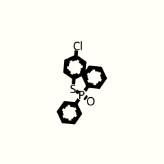 O=P(Sc1ccc(Cl)cc1)(c1ccccc1)c1ccccc1